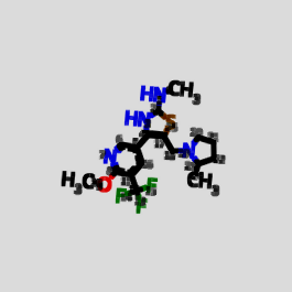 CNC1NC(c2cnc(OC)c(C(F)(F)F)c2)=C(CN2CCCC2C)S1